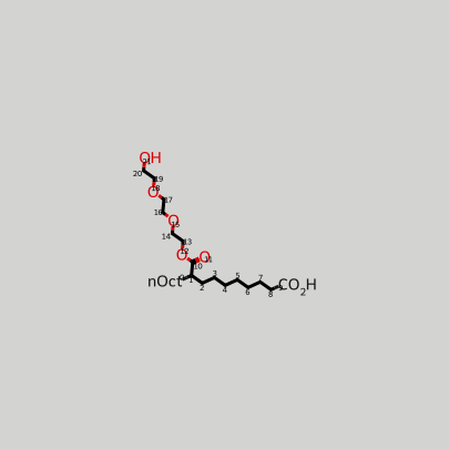 CCCCCCCCC(CCCCCCCC(=O)O)C(=O)OCCOCCOCCO